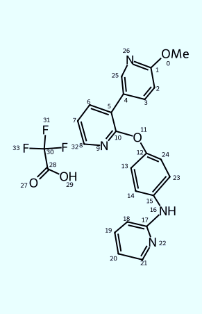 COc1ccc(-c2cccnc2Oc2ccc(Nc3ccccn3)cc2)cn1.O=C(O)C(F)(F)F